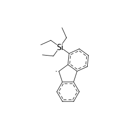 CC[Si](CC)(CC)c1cccc2c1[CH]c1ccccc1-2